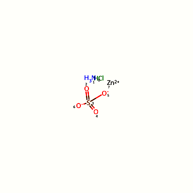 Cl.N.O=S(=O)([O-])[O-].[Zn+2]